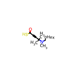 CCCCCCCN(C)C(C)(C)C#CC(=O)S